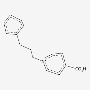 O=C(O)c1cc[n+](CCCc2ccccc2)cc1